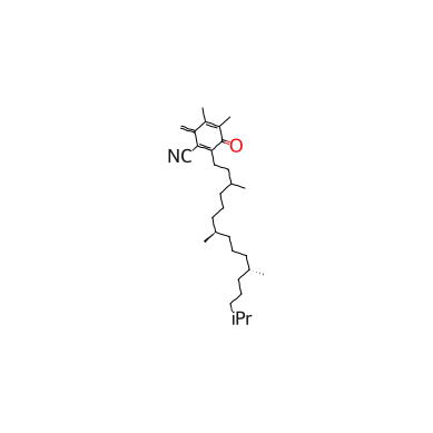 C=C1C(C)=C(C)C(=O)C(CCC(C)CCC[C@H](C)CCC[C@H](C)CCCC(C)C)=C1C#N